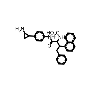 NC1CC1c1ccc(NC(=O)C(NC(=O)O)C(Cc2ccccc2)c2cccc3ccccc23)cc1